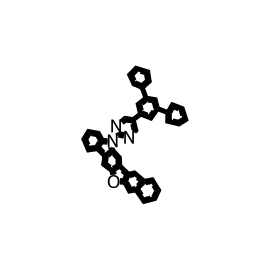 c1ccc(-c2cc(-c3ccccc3)cc(-c3cnc(-n4c5ccccc5c5cc6oc7cc8ccccc8cc7c6cc54)nc3)c2)cc1